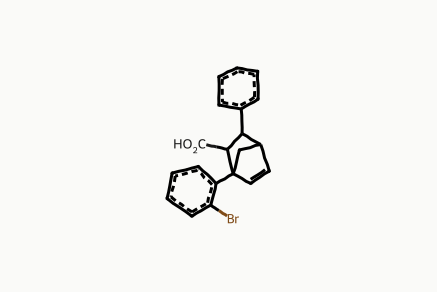 O=C(O)C1C(c2ccccc2)C2C=CC1(c1ccccc1Br)C2